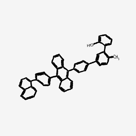 Cc1ccc(-c2ccc(-c3c4ccccc4c(-c4ccc(-c5cccc6ccccc56)cc4)c4ccccc34)cc2)cc1-c1ccccc1O